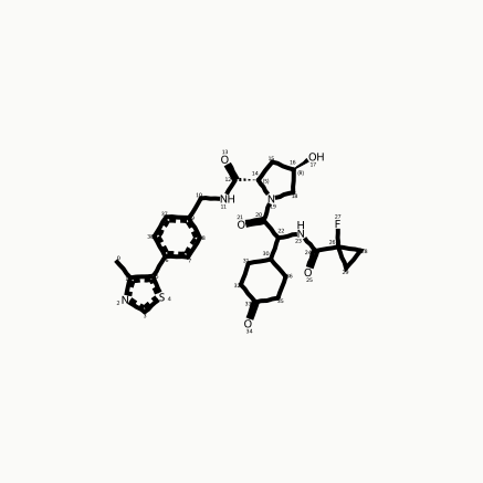 Cc1ncsc1-c1ccc(CNC(=O)[C@@H]2C[C@@H](O)CN2C(=O)C(NC(=O)C2(F)CC2)C2CCC(=O)CC2)cc1